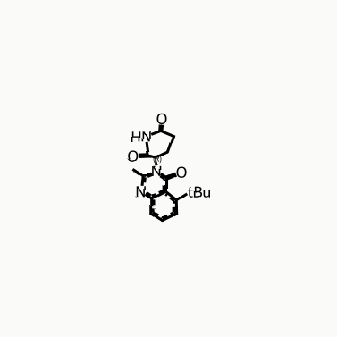 Cc1nc2cccc(C(C)(C)C)c2c(=O)n1[C@@H]1CCC(=O)NC1=O